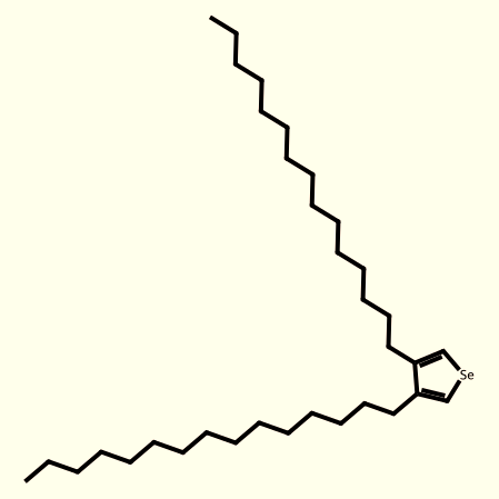 CCCCCCCCCCCCCCCc1c[se]cc1CCCCCCCCCCCCCCC